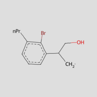 [CH2]C(CO)c1cccc(CCC)c1Br